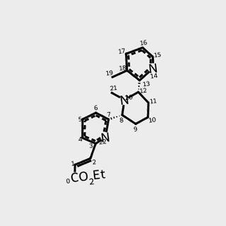 CCOC(=O)/C=C/c1cccc([C@H]2CCC[C@@H](c3ncccc3C)N2C)n1